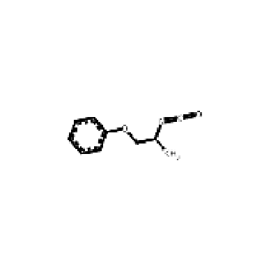 C[C@@H](COc1ccccc1)N=C=O